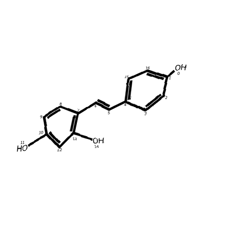 Oc1ccc(/C=C/c2ccc(O)cc2O)cc1